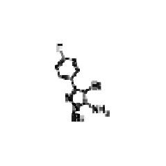 CCc1c(-c2ccc(F)cc2)nn(C(C)CC)c1N